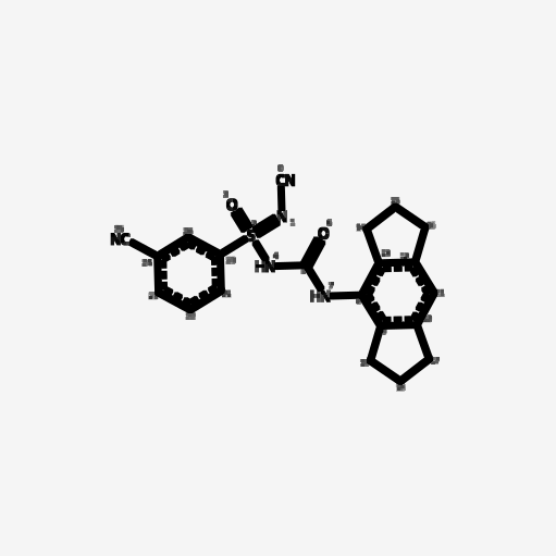 N#CN=S(=O)(NC(=O)Nc1c2c(cc3c1CCC3)CCC2)c1cccc(C#N)c1